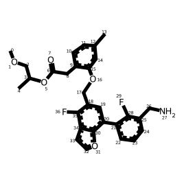 COCC(C)OC(=O)Cc1ccc(C)cc1OCc1cc(-c2cccc(CN)c2F)c2occc2c1F